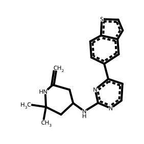 C=C1CC(Nc2nccc(-c3ccc4sccc4c3)n2)CC(C)(C)N1